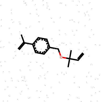 C=CC(C)(C)OCc1ccc(C(=C)C)cc1